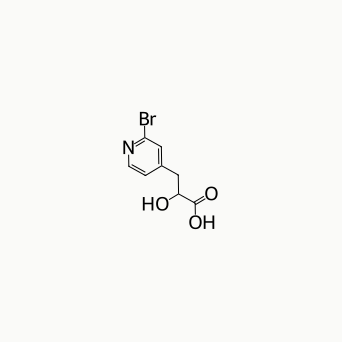 O=C(O)C(O)Cc1ccnc(Br)c1